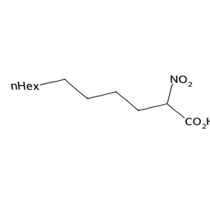 CCCCCCCCCCC(C(=O)O)[N+](=O)[O-]